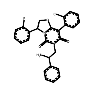 NC(Cn1c(=O)c(-c2ccccc2Cl)c2n(c1=O)C(c1ccccc1F)CO2)c1ccccc1